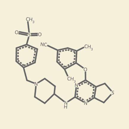 Cc1cc(C#N)cc(C)c1Oc1nc(NC2CCN(Cc3ccc(S(C)(=O)=O)cc3)CC2)nc2c1CSC2